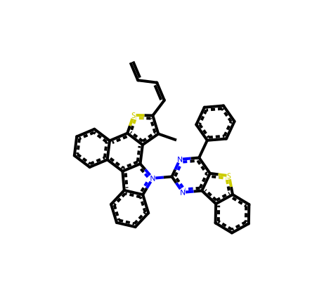 C=C/C=C\c1sc2c3ccccc3c3c4ccccc4n(-c4nc(-c5ccccc5)c5sc6ccccc6c5n4)c3c2c1C